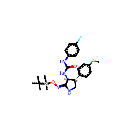 COc1ccc([C@@H]2CNC(=NO[Si](C)(C)C(C)(C)C)[C@H]2NC(=O)Nc2ccc(F)cc2)cc1